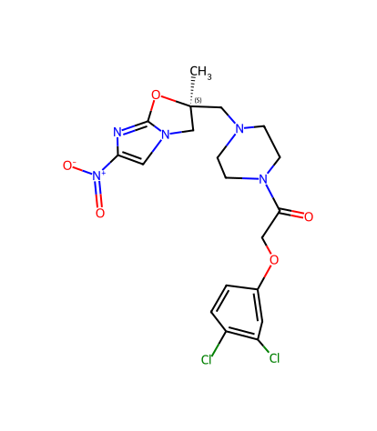 C[C@]1(CN2CCN(C(=O)COc3ccc(Cl)c(Cl)c3)CC2)Cn2cc([N+](=O)[O-])nc2O1